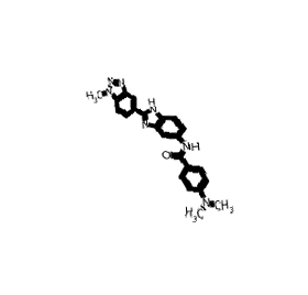 CN(C)c1ccc(C(=O)Nc2ccc3[nH]c(-c4ccc5c(c4)nnn5C)nc3c2)cc1